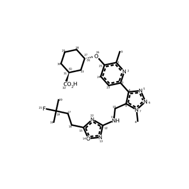 Cc1nc(-c2nnn(C)c2CNc2noc(CCC(C)(C)F)n2)ccc1O[C@H]1CCC[C@H](C(=O)O)C1